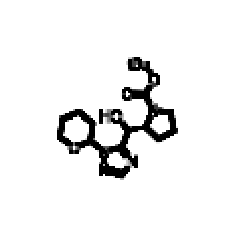 CC(C)(C)OC(=O)N1CCC[C@H]1C(O)c1ncnn1C1CCCCO1